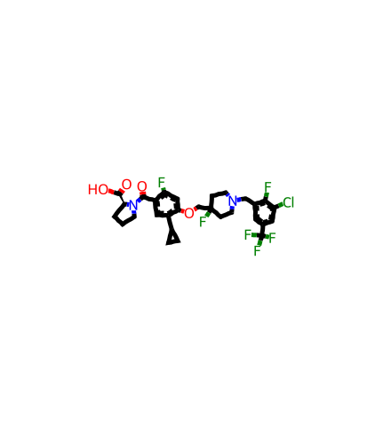 O=C(O)[C@@H]1CCCN1C(=O)c1cc(C2CC2)c(OCC2(F)CCN(Cc3cc(C(F)(F)F)cc(Cl)c3F)CC2)cc1F